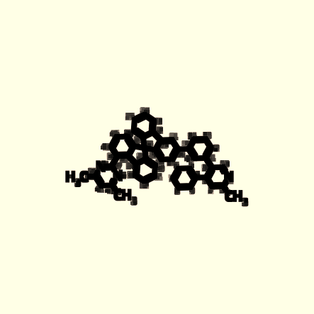 Cc1cc(-c2ccccc2)c(-c2cccc(-c3ccc4c(c3)-c3ccccc3C43c4ccccc4-c4c(-c5nc(C)cc(C)n5)cccc43)c2)cn1